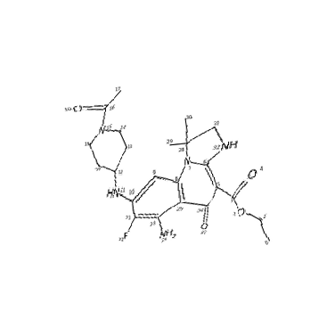 CCOC(=O)c1c2n(c3cc(NC4CCN(C(C)=O)CC4)c(F)c(N)c3c1=O)C(C)(C)CN2